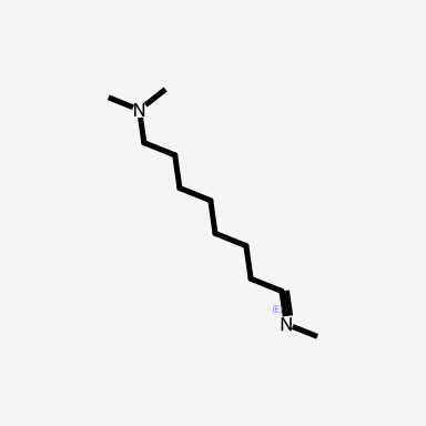 C/N=C/CCCCCCCN(C)C